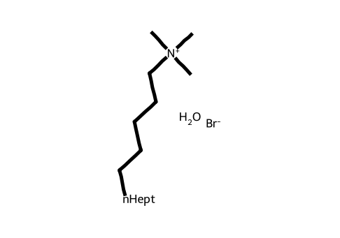 CCCCCCCCCCCC[N+](C)(C)C.O.[Br-]